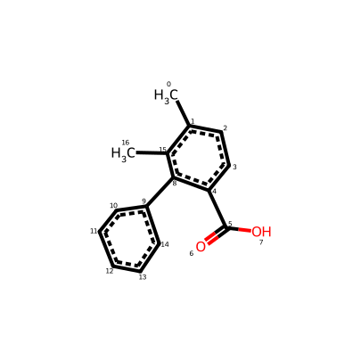 Cc1ccc(C(=O)O)c(-c2ccccc2)c1C